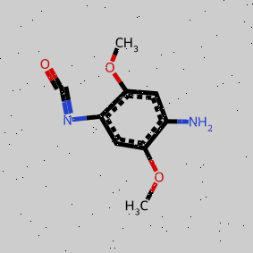 COc1cc(N=C=O)c(OC)cc1N